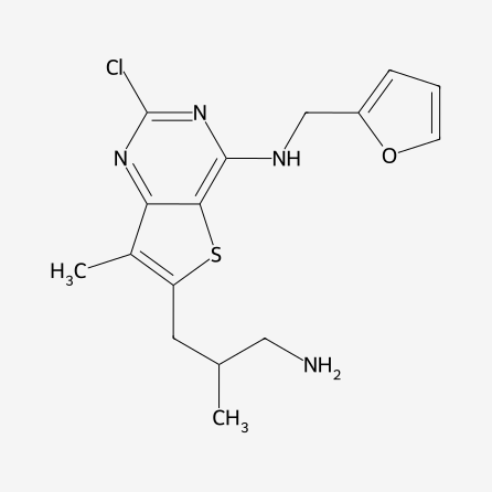 Cc1c(CC(C)CN)sc2c(NCc3ccco3)nc(Cl)nc12